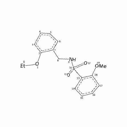 CCOc1ccccc1CNS(=O)(=O)c1ccccc1OC